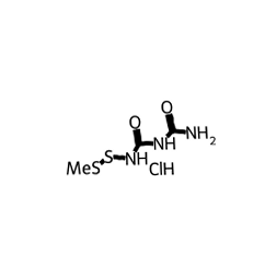 CSSNC(=O)NC(N)=O.Cl